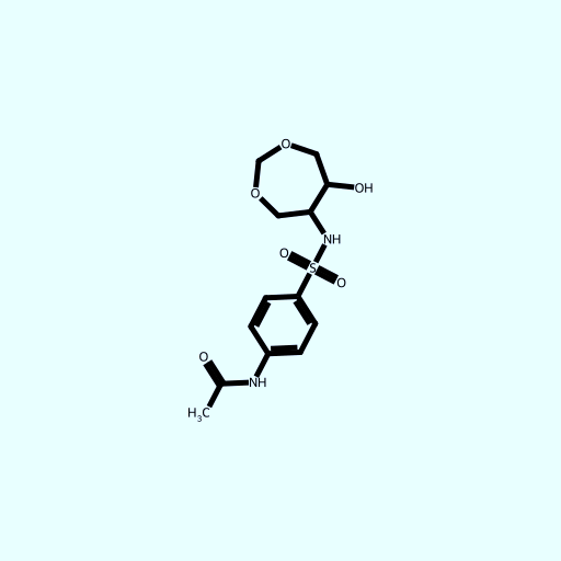 CC(=O)Nc1ccc(S(=O)(=O)NC2COCOCC2O)cc1